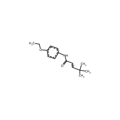 CCOc1ccc(NC(=O)/C=C/C(C)(C)C)cc1